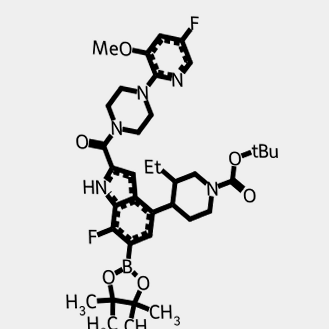 CCC1CN(C(=O)OC(C)(C)C)CCC1c1cc(B2OC(C)(C)C(C)(C)O2)c(F)c2[nH]c(C(=O)N3CCN(c4ncc(F)cc4OC)CC3)cc12